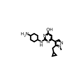 Cn1ncc(-c2cc(O)nc(NC3CCC(N)CC3)n2)c1CC1CC1